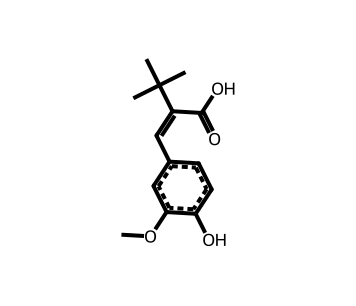 COc1cc(C=C(C(=O)O)C(C)(C)C)ccc1O